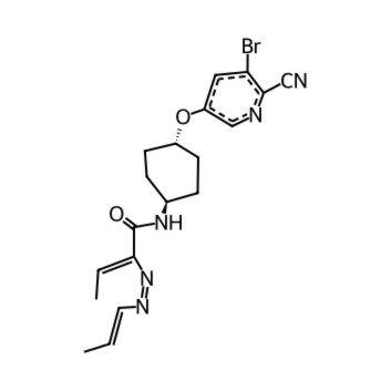 C\C=C(/N=N\C=C\C)C(=O)N[C@H]1CC[C@H](Oc2cnc(C#N)c(Br)c2)CC1